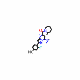 CC1CCCCCN1C(=O)c1cc(N(C)C)n2nc(-c3ccc(C#N)cc3F)cc2n1